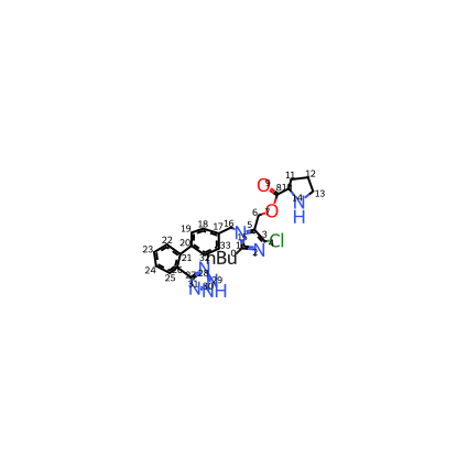 CCCCc1nc(Cl)c(COC(=O)C2CCCN2)n1Cc1ccc(-c2ccccc2-c2nn[nH]n2)cc1